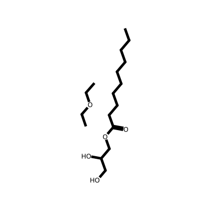 CCCCCCCCCC(=O)OCC(O)CO.CCOCC